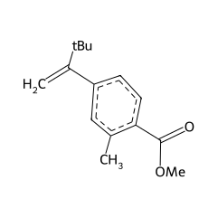 C=C(c1ccc(C(=O)OC)c(C)c1)C(C)(C)C